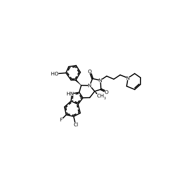 C[C@@]12Cc3c([nH]c4cc(F)c(Cl)cc34)[C@@H](c3cccc(O)c3)N1C(=O)N(CCCN1CC=CCC1)C2=O